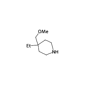 CCC1(COC)CCNCC1